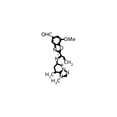 C=C/C(=N\C(F)CC(=C)c1nncn1C)c1nc2cc(C=O)cc(OC)c2o1